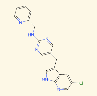 Clc1cnc2[nH]cc(Cc3cnc(NCc4ccccn4)nc3)c2c1